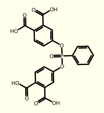 O=C(O)c1ccc(OP(=O)(Oc2ccc(C(=O)O)c(C(=O)O)c2)c2ccccc2)cc1C(=O)O